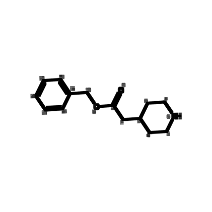 O=C(CC1CCNCC1)OCc1ccccc1